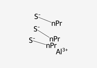 CCC[S-].CCC[S-].CCC[S-].[Al+3]